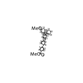 COC(=O)c1ccc(-c2ccc(N3CC[N+]4(CC3)C3(CCCCC3)[C@]43CC[C@@H](OC)CC3)cc2)cc1